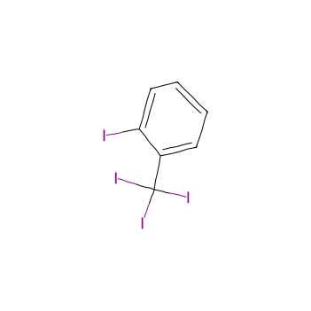 Ic1ccccc1C(I)(I)I